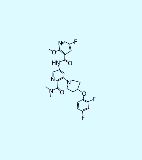 COc1ncc(F)cc1C(=O)Nc1cnc(C(=O)N(C)C)c(N2CCC(Oc3ccc(F)cc3F)CC2)c1